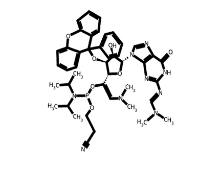 CC(C)N(C(C)C)P(OCCC#N)OC(=CN(C)C)[C@H]1O[C@@H](n2cnc3c(=O)[nH]c(N=CN(C)C)nc32)[C@H](O)[C@@H]1OC1(c2ccccc2)c2ccccc2Oc2ccccc21